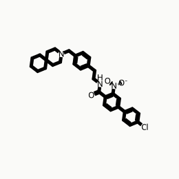 O=C(NCCc1ccc(CN2CCC3(CCCCC3)CC2)cc1)c1ccc(-c2ccc(Cl)cc2)cc1[N+](=O)[O-]